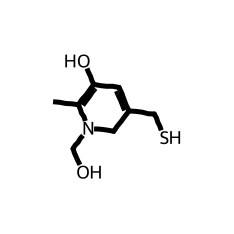 CC1=C(O)C=C(CS)CN1CO